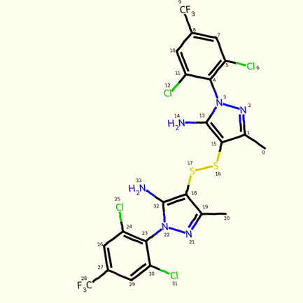 Cc1nn(-c2c(Cl)cc(C(F)(F)F)cc2Cl)c(N)c1SSc1c(C)nn(-c2c(Cl)cc(C(F)(F)F)cc2Cl)c1N